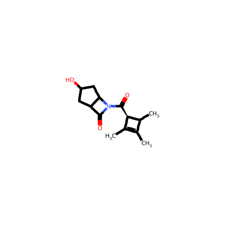 CC1=C(C)[C@@H](C(=O)N2C(=O)C3CC(O)CC32)C1C